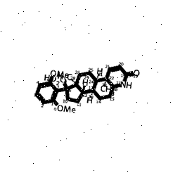 COc1cccc(OC)c1C1(C(=O)O)CC[C@H]2[C@@H]3CCC4NC(=O)C=C[C@]4(C)[C@@H]3CC[C@@]21C